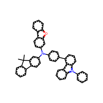 CC1(C)c2ccccc2-c2ccc(N(c3ccc(-c4cccc5c4c4ccccc4n5-c4ccccc4)cc3)c3ccc4c(c3)oc3ccccc34)cc21